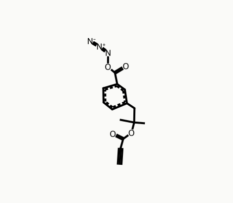 C#CC(=O)OC(C)(C)Cc1cccc(C(=O)ON=[N+]=[N-])c1